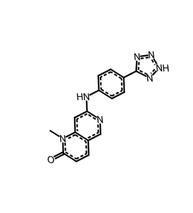 Cn1c(=O)ccc2cnc(Nc3ccc(-c4nn[nH]n4)cc3)cc21